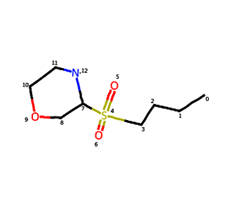 CCCCS(=O)(=O)C1COCC[N]1